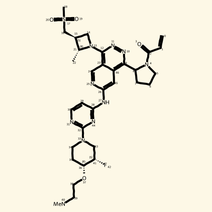 C=CC(=O)N1CCCC1c1nnc(N2C[C@H](CS(C)(=O)=O)[C@H]2C)c2cnc(Nc3ccnc(N4CC[C@@H](OCCNC)[C@@H](F)C4)n3)cc12